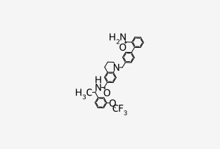 CC(NC(=O)c1ccc2c(c1)CCCN2Cc1ccc(-c2ccccc2C(N)=O)cc1)c1cccc(OC(F)(F)F)c1